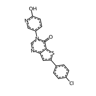 O=c1c2sc(-c3ccc(Cl)cc3)cc2ncn1-c1ccc(O)nc1